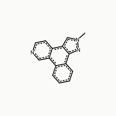 Cn1cc2c3ccncc3c3ccccc3c2n1